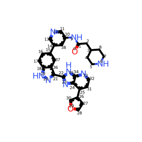 O=C(CC1CCNCC1)Nc1cncc(-c2ccc3[nH]nc(-c4nc5c(-c6ccoc6)ccnc5[nH]4)c3c2)c1